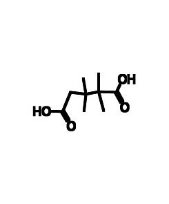 CC(C)(CC(=O)O)C(C)(C)C(=O)O